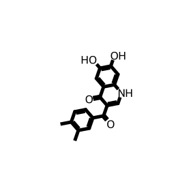 Cc1ccc(C(=O)c2c[nH]c3cc(O)c(O)cc3c2=O)cc1C